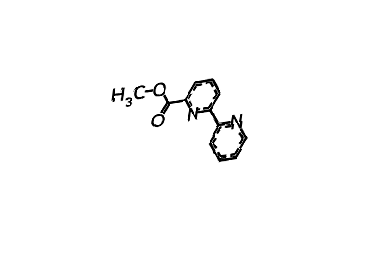 COC(=O)c1cccc(-c2ccccn2)n1